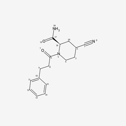 N#CC1CCN(C(=O)[CH]Cc2ccccc2)[C@@H](C(N)=O)C1